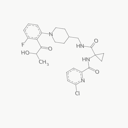 CC(O)C(=O)c1c(F)cccc1N1CCC(CNC(=O)C2(NC(=O)c3cccc(Cl)n3)CC2)CC1